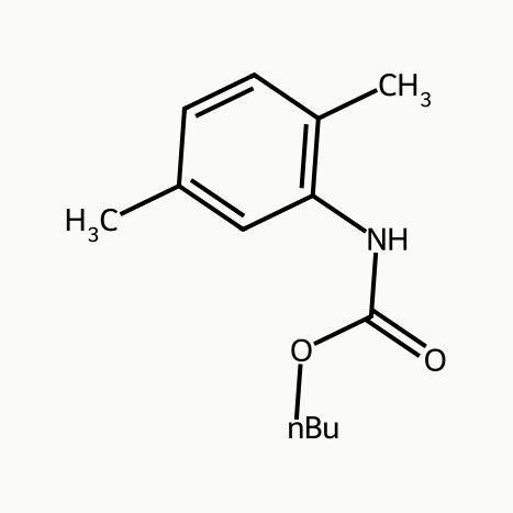 CCCCOC(=O)Nc1cc(C)ccc1C